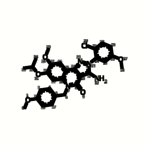 COc1ccc(Cn2c(=O)c3c(N)n(-c4cc(OC)ccc4Cl)nc3c3cc(OC)c(OC(C)C)cc32)cc1